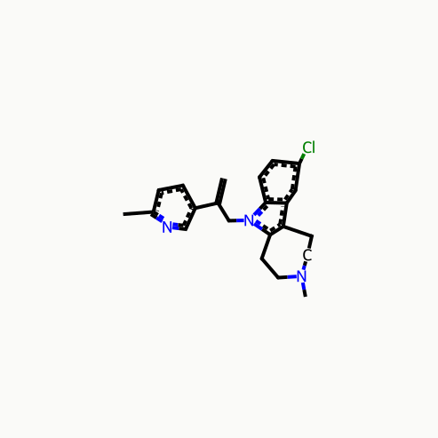 C=C(Cn1c2c(c3cc(Cl)ccc31)CCN(C)CC2)c1ccc(C)nc1